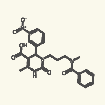 CC1=C(C(=O)O)C(c2cccc([N+](=O)[O-])c2)N(CCCN(C)C(=O)c2ccccc2)C(=O)N1